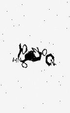 CC1CNC(=O)c2ccc(OC3CCN(C)CC3)nc2O1